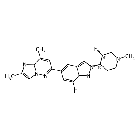 Cc1cn2nc(-c3cc(F)c4nn([C@@H]5CCN(C)C[C@@H]5F)cc4c3)cc(C)c2n1